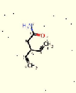 C=CC(C=C)CC(N)=O